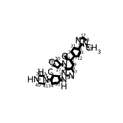 Cc1cc(Nc2ncc3cc(-c4ccc(-c5nccn5C)cc4)c(=O)n(C4CCOC4)c3n2)ccc1N1CCNCC1